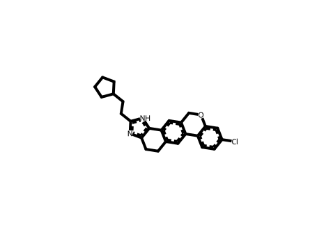 Clc1ccc2c(c1)OCc1cc3c(cc1-2)CCc1nc(CCC2CCCC2)[nH]c1-3